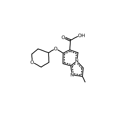 Cc1cn2cc(C(=O)O)c(OC3CCOCC3)cc2n1